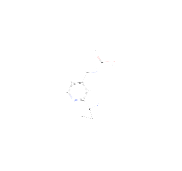 NC1(c2cc(CNC(=O)O)ccn2)CC1